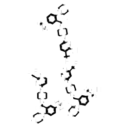 CS(=O)(=O)c1ccc(N2CCOCC2)c(C(=O)N2CCN(c3cc(C(F)(F)F)ncn3)CC2)c1.CS(=O)(=O)c1ccc(N2CCOCC2)c(C(=O)N2CCN(c3ccnc(C(F)(F)F)n3)CC2)c1.O=C(c1cc([N+](=O)[O-])ccc1N1CCOCC1)N1CCN(c2ccc(C(F)(F)F)c(Cl)n2)CC1